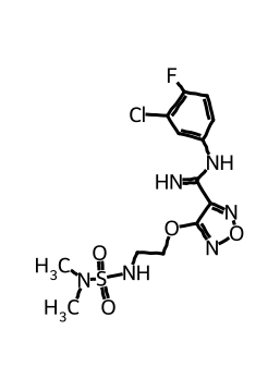 CN(C)S(=O)(=O)NCCOc1nonc1C(=N)Nc1ccc(F)c(Cl)c1